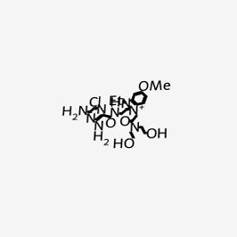 CCn1c(CNC(=O)c2nc(Cl)c(N)nc2N)[n+](CC(=O)N(CCO)CCO)c2ccc(OC)cc21